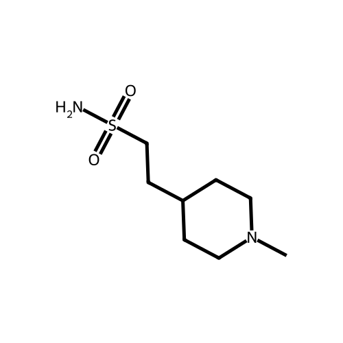 CN1CCC(CCS(N)(=O)=O)CC1